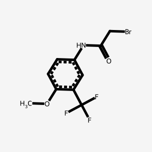 COc1ccc(NC(=O)CBr)cc1C(F)(F)F